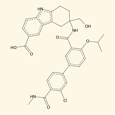 CNC(=O)c1ccc(-c2ccc(OC(C)C)c(C(=O)NC3(CO)CCc4[nH]c5ccc(C(=O)O)cc5c4C3)c2)cc1Cl